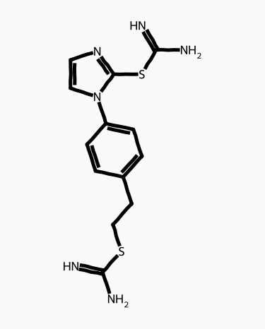 N=C(N)SCCc1ccc(-n2ccnc2SC(=N)N)cc1